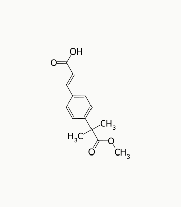 COC(=O)C(C)(C)c1ccc(C=CC(=O)O)cc1